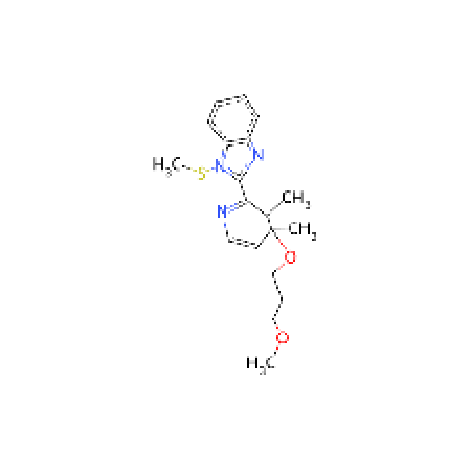 COCCCOC1(C)C=CN=C(c2nc3ccccc3n2SC)C1C